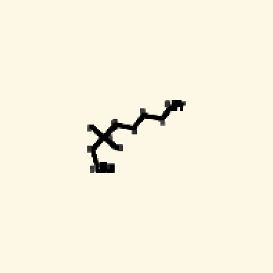 CC(C)CCC[CH]C(C)(C)CC(C)(C)C